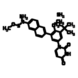 COSN(N)c1ccc2cc(-c3cc(-n4ccc(=O)[nH]c4=O)cc(C(C)(C)C)c3OC)ccc2c1.S